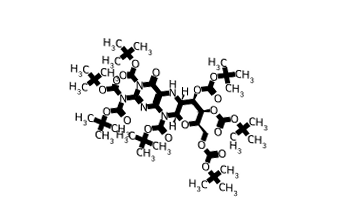 CC(C)(C)OC(=O)OC[C@H]1O[C@@H]2[C@@H](Nc3c(nc(N(C(=O)OC(C)(C)C)C(=O)OC(C)(C)C)n(C(=O)OC(C)(C)C)c3=O)N2C(=O)OC(C)(C)C)[C@@H](OC(=O)OC(C)(C)C)[C@H]1OC(=O)OC(C)(C)C